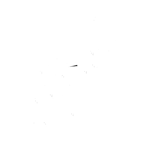 N#Cc1nccnc1N1CCN2[C@H](CC[C@H]2c2cn(-c3cccc(Cl)c3)nn2)C1